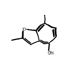 Cc1cc2c(O)ccc(C)c2o1